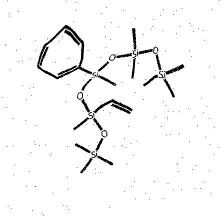 C=C[Si](C)(O[Si](C)(C)C)O[Si](C)(O[Si](C)(C)O[Si](C)(C)C)c1ccccc1